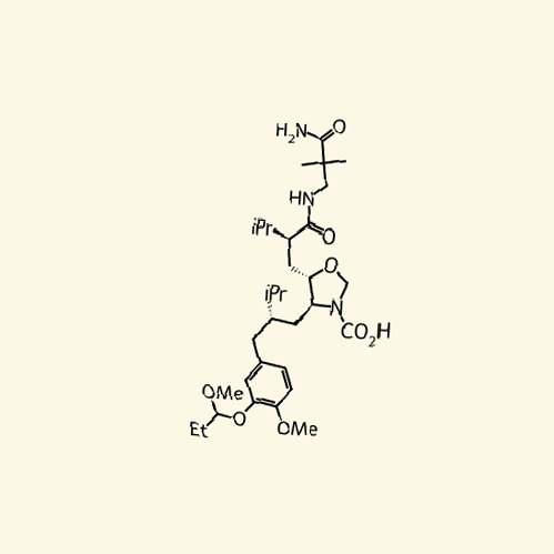 CCC(OC)Oc1cc(C[C@@H](C[C@H]2[C@H](C[C@H](C(=O)NCC(C)(C)C(N)=O)C(C)C)OCN2C(=O)O)C(C)C)ccc1OC